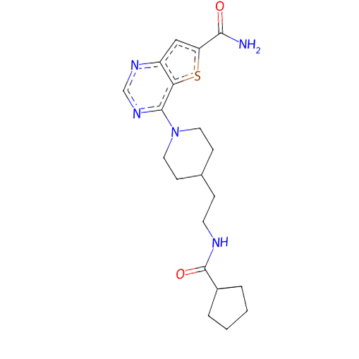 NC(=O)c1cc2ncnc(N3CCC(CCNC(=O)C4CCCC4)CC3)c2s1